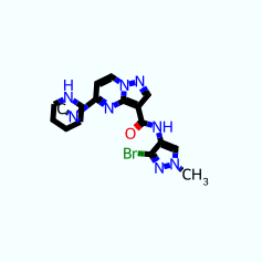 Cn1cc(NC(=O)c2cnn3ccc(N4CC5CCC4CN5)nc23)c(Br)n1